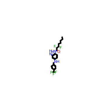 CCCCC[C@H](F)[C@@H](F)C(=O)Nc1ccc(NCc2ccc(C(F)(F)F)cc2)cc1N